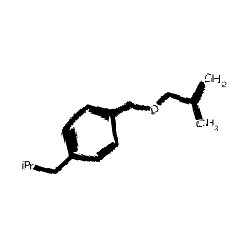 C=C(C)COCc1ccc(CC(C)C)cc1